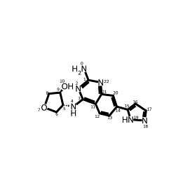 Nc1nc(N[C@@H]2COC[C@H]2O)c2ccc(-c3ccn[nH]3)cc2n1